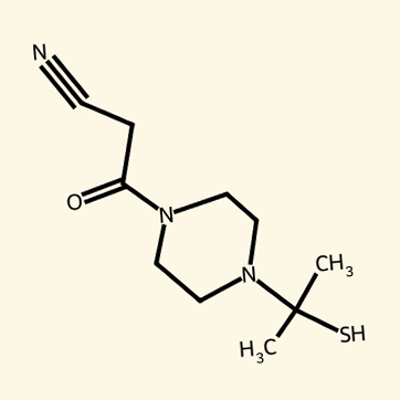 CC(C)(S)N1CCN(C(=O)CC#N)CC1